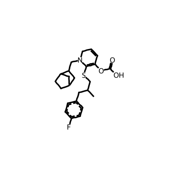 CC(CSC1=C(OC(=O)O)C=CCN1CC1CC2CCC1C2)Cc1ccc(F)cc1